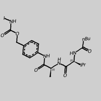 CCCCC(=O)N[C@H](C(=O)N[C@@H](C)C(=O)Nc1ccc(COC(=O)NI)cc1)C(C)C